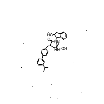 CC(C)c1cccc(-c2ccc(CC(CC(=O)NO)C(=O)NC3c4ccccc4CC3O)cc2)c1